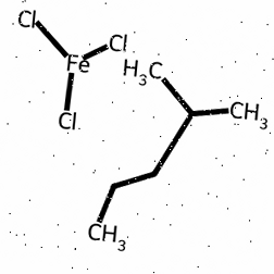 CCCC(C)C.[Cl][Fe]([Cl])[Cl]